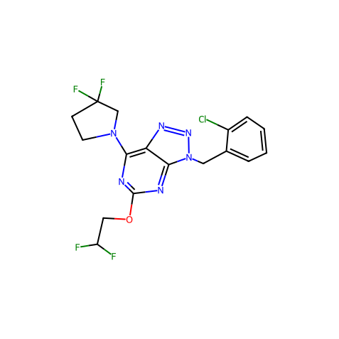 FC(F)COc1nc(N2CCC(F)(F)C2)c2nnn(Cc3ccccc3Cl)c2n1